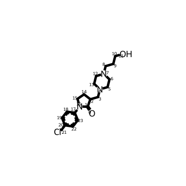 O=C1C(CN2CCN(CCCO)CC2)CCN1c1ccc(Cl)cc1